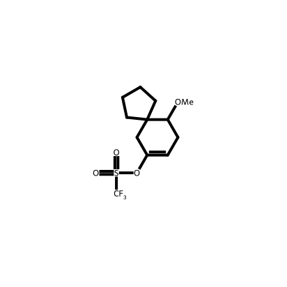 COC1CC=C(OS(=O)(=O)C(F)(F)F)CC12CCCC2